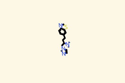 CN(C)C(CCc1ccc2ncsc2c1)Cn1ccnc1